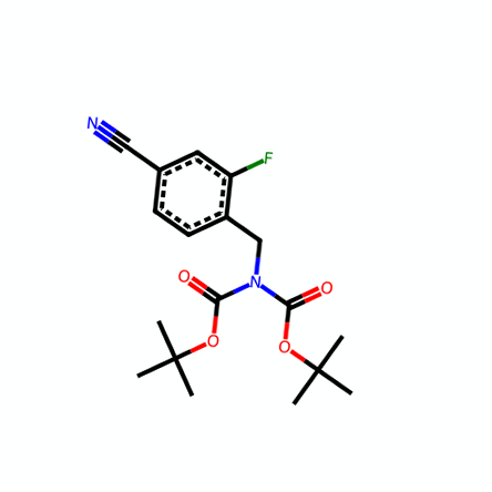 CC(C)(C)OC(=O)N(Cc1ccc(C#N)cc1F)C(=O)OC(C)(C)C